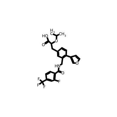 CC(C)OC(Cc1ccc(-c2ccoc2)c(CNC(=O)c2ccc(C(F)(F)F)cc2F)c1)C(=O)O